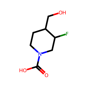 O=C(O)N1CCC(CO)C(F)C1